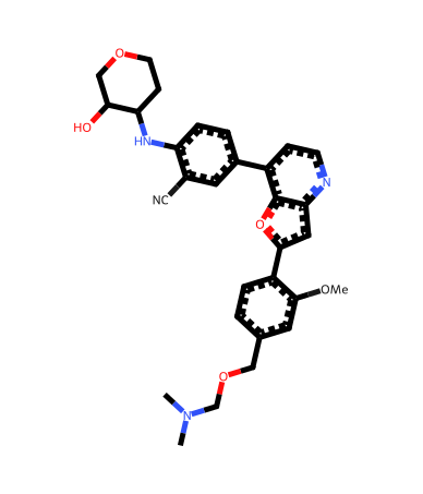 COc1cc(COCN(C)C)ccc1-c1cc2nccc(-c3ccc(NC4CCOCC4O)c(C#N)c3)c2o1